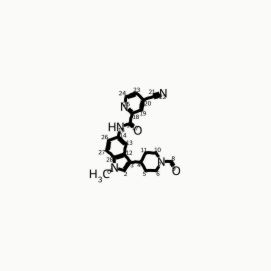 Cn1cc(C2CCN(C=O)CC2)c2cc(NC(=O)c3cc(C#N)ccn3)ccc21